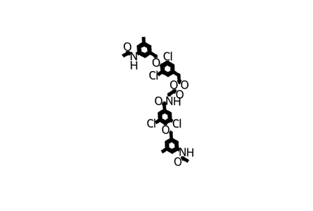 CC(=O)Nc1cc(C)cc(COc2c(Cl)cc(CC(=O)OC(=O)CNC(=O)c3cc(Cl)c(OCc4cc(C)cc(NC(C)=O)c4)c(Cl)c3)cc2Cl)c1